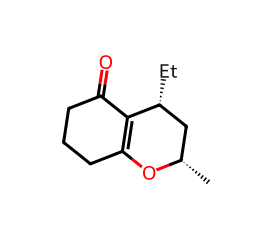 CC[C@@H]1C[C@H](C)OC2=C1C(=O)CCC2